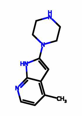 Cc1ccnc2[nH]c(N3CCNCC3)cc12